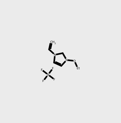 C=CN1C=CN(OCC)C1.F[B-](F)(F)F